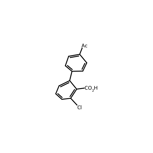 CC(=O)c1ccc(-c2cccc(Cl)c2C(=O)O)cc1